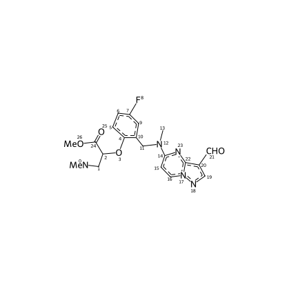 CNCC(Oc1ccc(F)cc1CN(C)c1ccn2ncc(C=O)c2n1)C(=O)OC